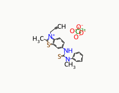 C#CC[n+]1c(C)sc2cc(NC(=S)N(C)c3ccccc3)ccc21.[O-][Cl+3]([O-])([O-])[O-]